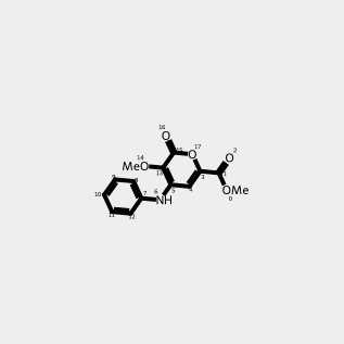 COC(=O)c1cc(Nc2ccccc2)c(OC)c(=O)o1